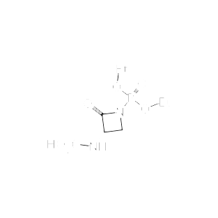 CCOP(=O)(OCC)N1C[C@H](NC(=O)O)C1=O